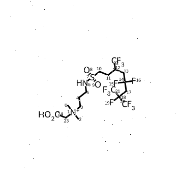 C[N+](C)(CCCNS(=O)(=O)CCC(CC(F)(F)CC(F)(C(F)(F)F)C(F)(F)F)C(F)(F)F)CC(=O)O